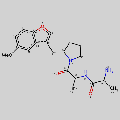 COc1ccc2occ(CC3CCCN3C(=O)C(NC(=O)C(C)N)C(C)C)c2c1